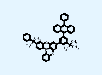 CC(C)(C)c1cc(-c2cc3c4c(c2)Sc2cc(C(C)(C)c5ccccc5)ccc2B4c2ccccc2S3)cc(-c2c3ccccc3c(-c3ccccc3)c3ccccc23)c1